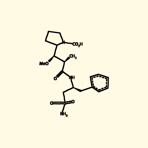 CO[C@@H](C1CCCN1C(=O)O)[C@@H](C)C(=O)N[C@@H](Cc1ccccc1)CS(N)(=O)=O